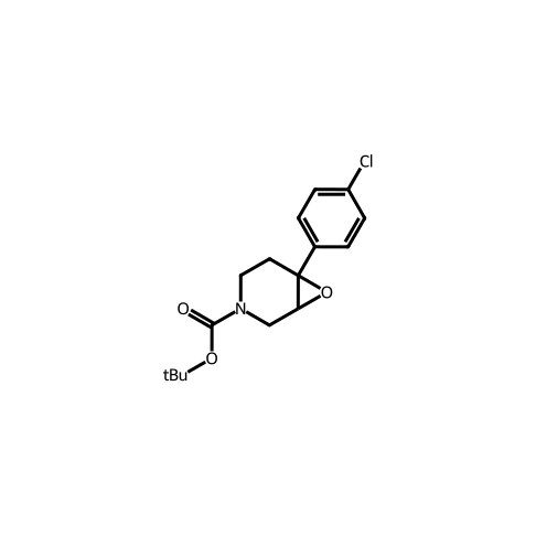 CC(C)(C)OC(=O)N1CCC2(c3ccc(Cl)cc3)OC2C1